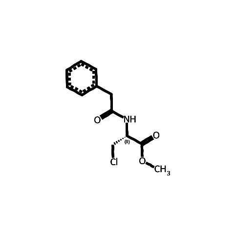 COC(=O)[C@H](CCl)NC(=O)Cc1ccccc1